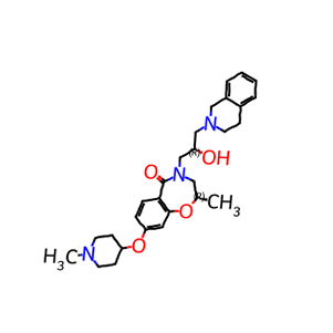 C[C@@H]1CN(C[C@H](O)CN2CCc3ccccc3C2)C(=O)c2ccc(OC3CCN(C)CC3)cc2O1